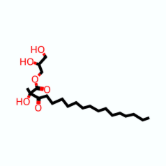 CCCCCCCCCCCCCCCC(=O)C(C)(O)C(=O)OCC(O)CO